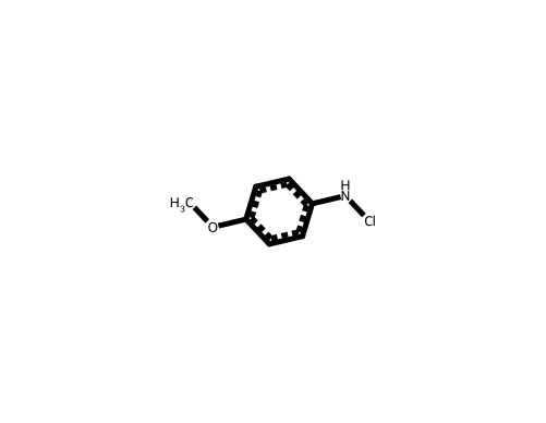 COc1ccc(NCl)cc1